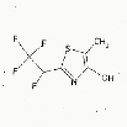 Cc1sc(C(F)C(F)(F)F)nc1O